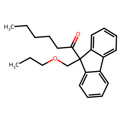 CCCCCC(=O)C1(COCCC)c2ccccc2-c2ccccc21